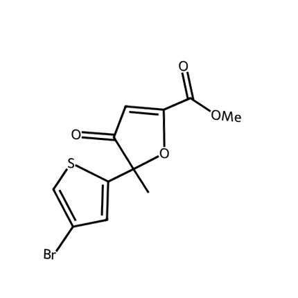 COC(=O)C1=CC(=O)C(C)(c2cc(Br)cs2)O1